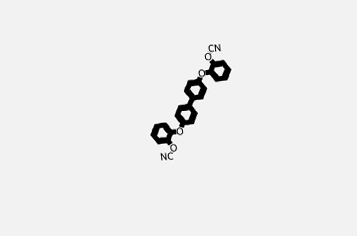 N#COc1ccccc1Oc1ccc(-c2ccc(Oc3ccccc3OC#N)cc2)cc1